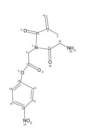 C=C(C)C(=O)N(CC(=O)Oc1ccc([N+](=O)[O-])cc1)C(=O)CN